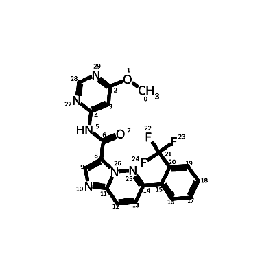 COc1cc(NC(=O)c2cnc3ccc(-c4ccccc4C(F)(F)F)nn23)ncn1